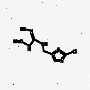 CON/C(=N\C#N)NCc1cnc(Cl)s1